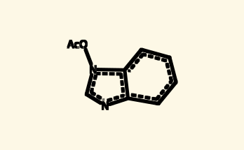 CC(=O)On1cnc2ccccc21